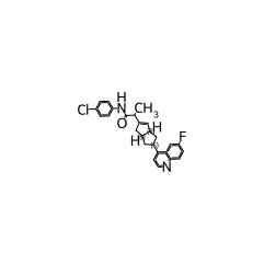 CC(C(=O)Nc1ccc(Cl)cc1)C1=C[C@H]2C[C@@H](c3ccnc4ccc(F)cc34)C[C@H]2C1